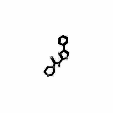 O=C(Nc1nc(-c2ccccc2)cs1)N1CCOCC1